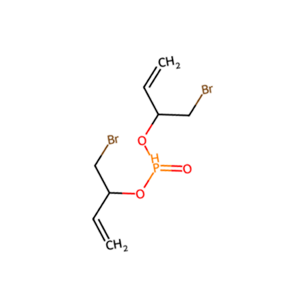 C=CC(CBr)O[PH](=O)OC(C=C)CBr